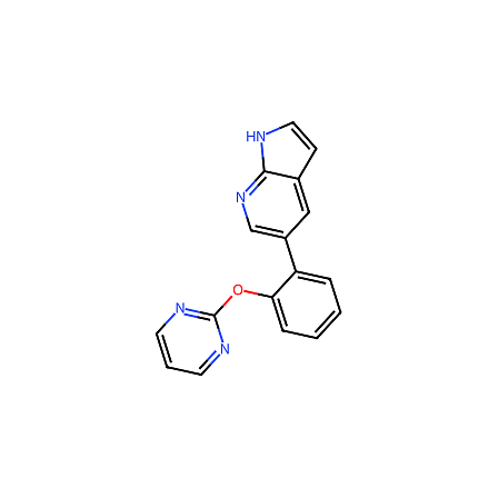 c1cnc(Oc2ccccc2-c2cnc3[nH]ccc3c2)nc1